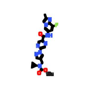 Cc1cn2cc(NC(=O)c3cnc(-n4cc(CN(C(=O)OC(C)(C)C)C5CC5)cn4)cn3)cc(F)c2n1